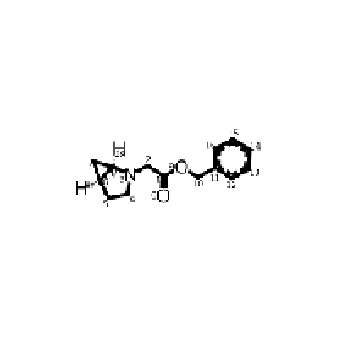 O=C(CN1CC[C@H]2C[C@H]21)OCc1ccccc1